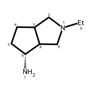 CCN1CC2CC[C@@H](N)C2C1